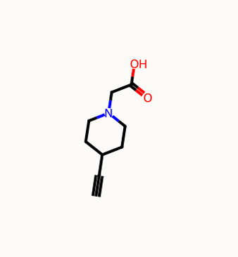 C#CC1CCN(CC(=O)O)CC1